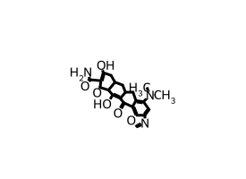 CN(C)c1cc2ncoc2c2c1CC1CC3CC(O)=C(C(N)=O)C(=O)C3C(O)=C1C2=O